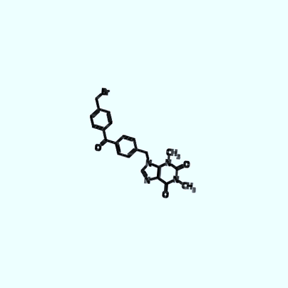 Cn1c(=O)c2ncn(Cc3ccc(C(=O)c4ccc(CBr)cc4)cc3)c2n(C)c1=O